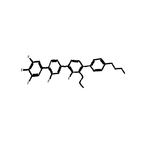 CCCCc1ccc(-c2ccc(-c3ccc(-c4cc(F)c(F)c(F)c4)c(F)c3)c(F)c2CCC)cc1